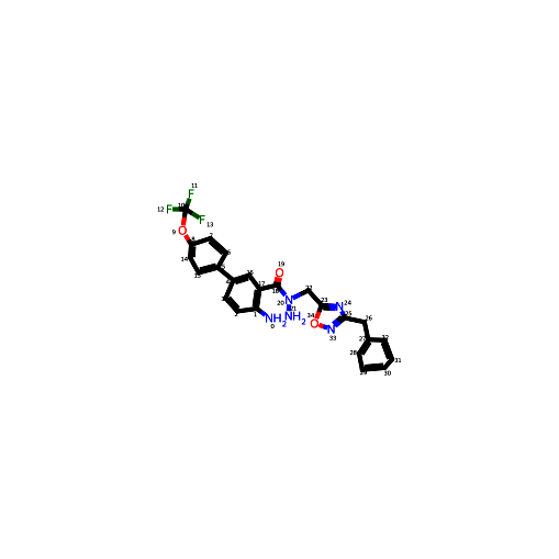 Nc1ccc(-c2ccc(OC(F)(F)F)cc2)cc1C(=O)N(N)Cc1nc(Cc2ccccc2)no1